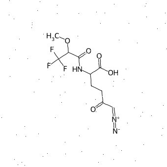 COC(C(=O)NC(CCC(=O)C=[N+]=[N-])C(=O)O)C(F)(F)F